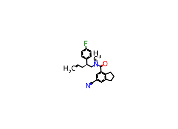 C=CC[C@H](CN(C)C(=O)c1cc(C#N)cc2c1CCC2)c1ccc(F)cc1